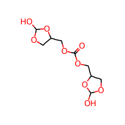 O=C(OCC1COC(O)O1)OCC1COC(O)O1